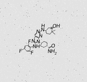 CC1(C)CCC(Nc2ncc3nc(Nc4c(F)cc(F)cc4F)n([C@H]4CC[C@@H](C(N)=O)CC4)c3n2)C[C@H]1O